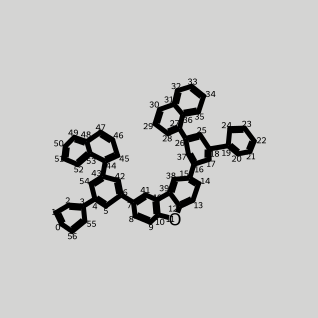 c1ccc(-c2cc(-c3ccc4oc5ccc(-c6cc(-c7ccccc7)cc(-c7cccc8ccccc78)c6)cc5c4c3)cc(-c3cccc4ccccc34)c2)cc1